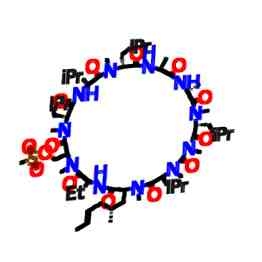 C/C=C/C[C@@H](C)CC1C(=O)NC(CC)C(=O)N(C)C(COS(C)(=O)=O)C(=O)N(C)[C@@H](CC(C)C)C(=O)N[C@@H](C(C)C)C(=O)N(C)[C@H](CC(C)C)C(=O)N[C@@H](C)C(=O)N[C@H](C)C(=O)N(C)[C@H](CC(C)C)C(=O)N(C)C(=O)N(C)C(C(C)C)C(=O)N1C